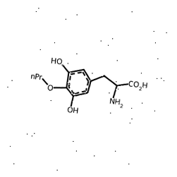 CCCOc1c(O)cc(CC(N)C(=O)O)cc1O